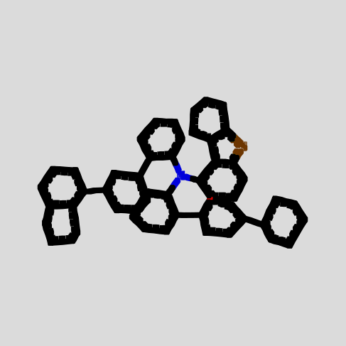 c1ccc(-c2ccc(-c3ccccc3N(c3ccccc3-c3cccc(-c4cccc5ccccc45)c3)c3cccc4sc5ccccc5c34)cc2)cc1